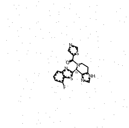 O=C(c1cncs1)N1CCc2[nH]cnc2[C@H]1c1nc2cccc(F)c2s1